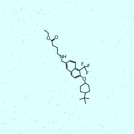 CCOC(=O)CCCNCc1ccc2c(C(F)(F)F)c(OC3CCC(C(C)(C)C)CC3)ccc2c1